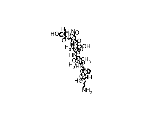 CC1C[C@H](NC(=O)CN(C)C(=O)[C@H](CC(=O)O)NC(=O)[C@H](CCC(N)=O)NC(=O)CNC(=O)[C@@H]2C[C@@H](O)CN2)C(=O)N1[C@@H](C)C(=O)NCC(=O)N1CCC[C@H]1C(=O)N[C@@H](CCCCN)C(=O)O